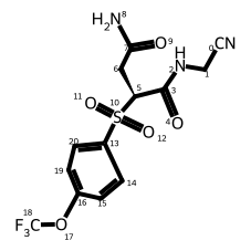 N#CCNC(=O)[C@H](CC(N)=O)S(=O)(=O)c1ccc(OC(F)(F)F)cc1